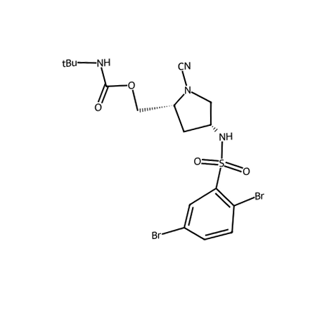 CC(C)(C)NC(=O)OC[C@H]1C[C@@H](NS(=O)(=O)c2cc(Br)ccc2Br)CN1C#N